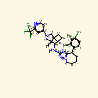 Fc1ccc(C2CCCCn3nc(N[C@@H]4C5CCC56CN(c5ccnc(C(F)(F)F)c5)C[C@@H]46)nc32)c(F)c1F